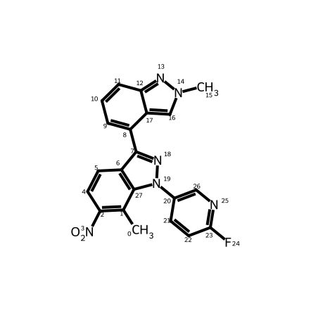 Cc1c([N+](=O)[O-])ccc2c(-c3cccc4nn(C)cc34)nn(-c3ccc(F)nc3)c12